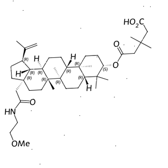 C=C(C)[C@@H]1CC[C@]2(CC(=O)NCCOC)CC[C@]3(C)[C@H](CC[C@@H]4[C@@]5(C)CC[C@H](OC(=O)CC(C)(C)CC(=O)O)C(C)(C)[C@@H]5CC[C@]43C)[C@@H]12